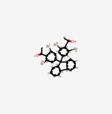 CC(=O)c1c(Br)cc(C2(c3cc(Br)c(C(C)=O)c(Br)c3)c3ccccc3-c3ccccc32)cc1Br